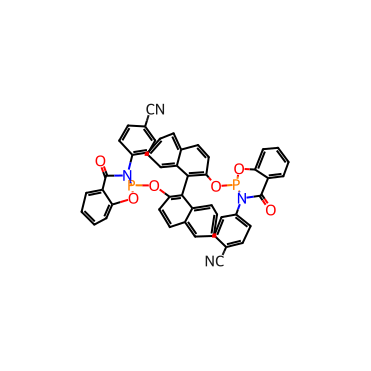 N#Cc1ccc(N2C(=O)c3ccccc3OP2Oc2ccc3ccccc3c2-c2c(OP3Oc4ccccc4C(=O)N3c3ccc(C#N)cc3)ccc3ccccc23)cc1